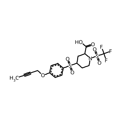 CC#CCOc1ccc(S(=O)(=O)C2CCN(S(=O)(=O)C(F)(F)F)C(C(=O)O)C2)cc1